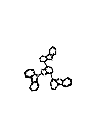 c1ccc2c(c1)sc1c(-c3ccc(-c4cccc5c4sc4ccccc45)c4sc(-n5c6ccccc6c6ccccc65)nc34)cccc12